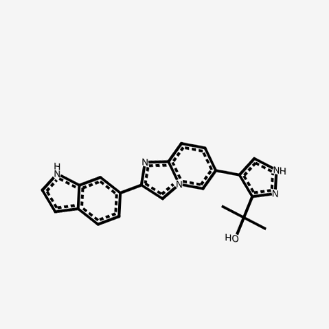 CC(C)(O)c1n[nH]cc1-c1ccc2nc(-c3ccc4cc[nH]c4c3)cn2c1